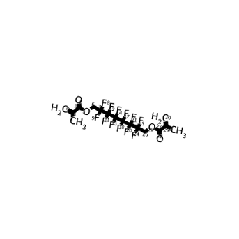 C=C(C)C(=O)OCC(F)(F)C(F)(F)C(F)(F)C(F)(F)C(F)(F)C(F)(F)COC(=O)C(=C)C